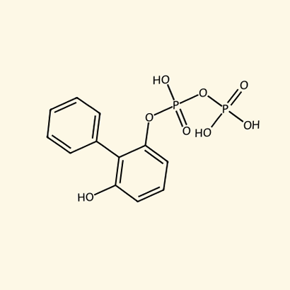 O=P(O)(O)OP(=O)(O)Oc1cccc(O)c1-c1ccccc1